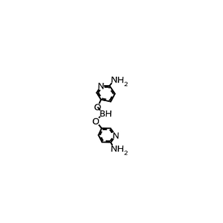 Nc1ccc(OBOc2ccc(N)nc2)cn1